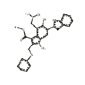 CCCOC(=O)c1c(CSc2ccccc2)n(C)c2cc(-c3cc4ccccc4[nH]3)c(O)c(CN(C)C)c12